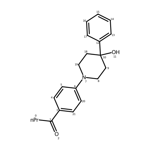 CCCC(=O)c1ccc(N2CCC(O)(c3ccccc3)CC2)cc1